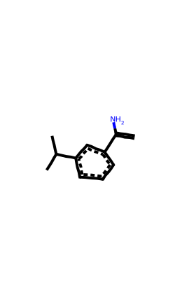 C=C(N)c1cccc(C(C)C)c1